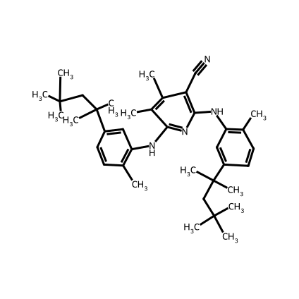 Cc1ccc(C(C)(C)CC(C)(C)C)cc1Nc1nc(Nc2cc(C(C)(C)CC(C)(C)C)ccc2C)c(C#N)c(C)c1C